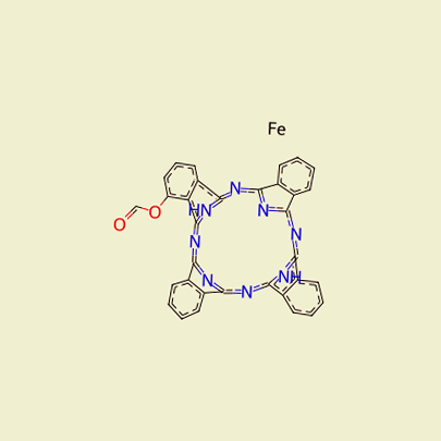 O=COc1cccc2c3nc4nc(nc5[nH]c(nc6nc(nc([nH]3)c12)-c1ccccc1-6)c1ccccc51)-c1ccccc1-4.[Fe]